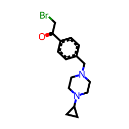 O=C(CBr)c1ccc(CN2CCN(C3CC3)CC2)cc1